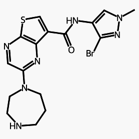 Cn1cc(NC(=O)c2csc3ncc(N4CCCNCC4)nc23)c(Br)n1